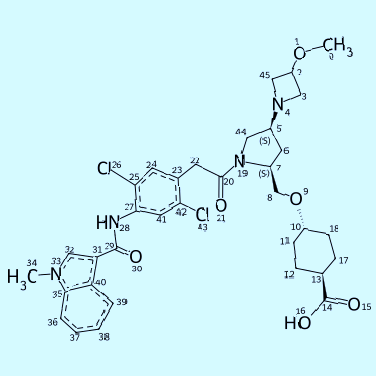 COC1CN([C@H]2C[C@@H](CO[C@H]3CC[C@H](C(=O)O)CC3)N(C(=O)Cc3cc(Cl)c(NC(=O)c4cn(C)c5ccccc45)cc3Cl)C2)C1